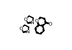 C1=NCCO1.C1=NCCO1.O=c1ccoc2ccccc12